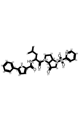 CC(C)CC(NC(=O)c1ccc(-c2ccccc2)s1)C(=O)N1CCC2C1C(=O)CN2S(=O)(=O)c1ccccn1